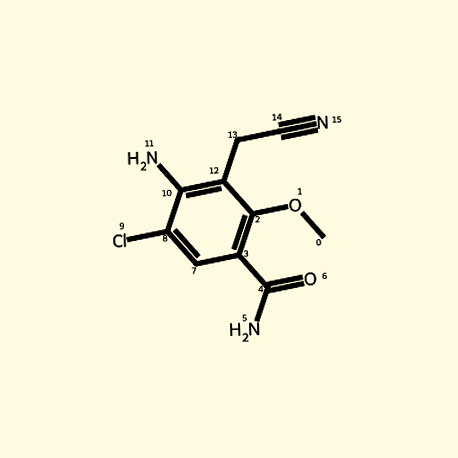 COc1c(C(N)=O)cc(Cl)c(N)c1CC#N